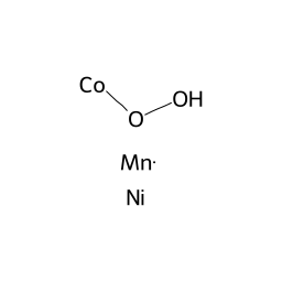 O[O][Co].[Mn].[Ni]